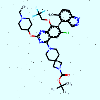 CCN1CCC(Oc2nc(N3CCC4(CC3)CN(C(=O)OC(C)(C)C)C4)c3cc(Cl)c(-c4c(C)ccc5[nH]ncc45)c(OCC(F)(F)F)c3n2)CC1